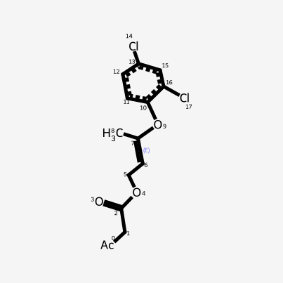 CC(=O)CC(=O)OC/C=C(\C)Oc1ccc(Cl)cc1Cl